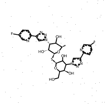 C[C@H]1O[C@@H](S[C@@H]2OC(CO)[C@H](O)C(n3cc(-c4ccc(F)cn4)nn3)C2O)[C@H](O)[C@H](n2cc(-c3ccc(F)cn3)nn2)C1O